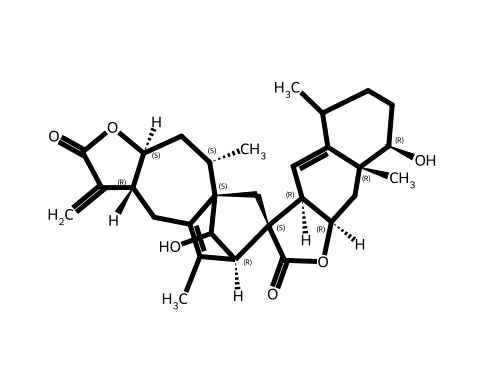 C=C1C(=O)O[C@H]2C[C@H](C)[C@@]34C[C@@]5(C(=O)O[C@@H]6C[C@]7(C)C(=C[C@@H]65)C(C)CC[C@H]7O)[C@@H](C(C)=C3C[C@H]12)C4O